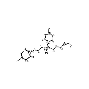 CN1CCN(CCCNC(CCCN)N2CCN(C)CC2)CC1